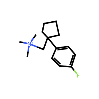 C[N+](C)(C)CC1(c2ccc(F)cc2)CCCC1